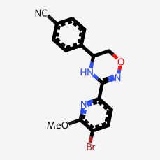 COc1nc(C2=NOCC(c3ccc(C#N)cc3)N2)ccc1Br